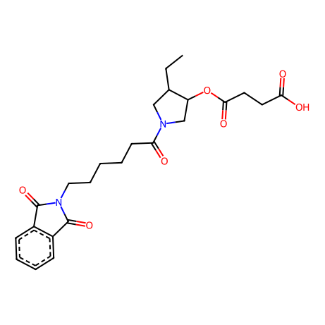 CCC1CN(C(=O)CCCCCN2C(=O)c3ccccc3C2=O)CC1OC(=O)CCC(=O)O